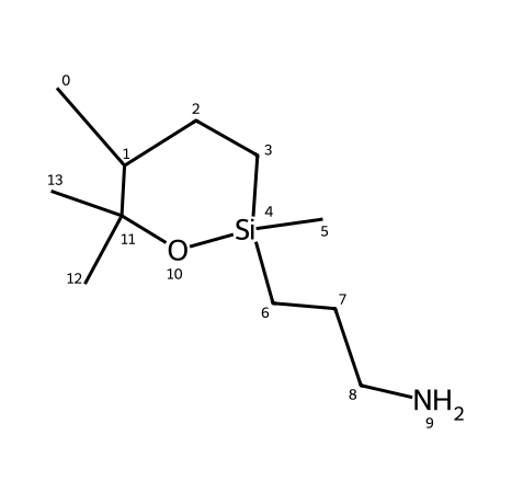 CC1CC[Si](C)(CCCN)OC1(C)C